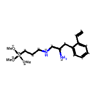 C=Cc1ccccc1CC(N)CNCCC[Si](OC)(OC)OC